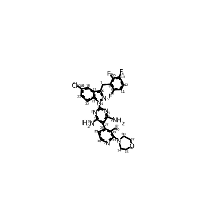 Nc1nc(-n2nc(Cc3c(F)ccc(F)c3F)c3cc(Cl)ccc32)nc(N)c1-c1ccnc(N2CCOCC2)c1F